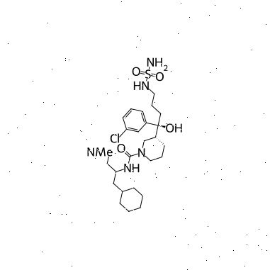 CNCC(CC1CCCCC1)NC(=O)N1CCC[C@@H]([C@@](O)(CCCNS(N)(=O)=O)c2cccc(Cl)c2)C1